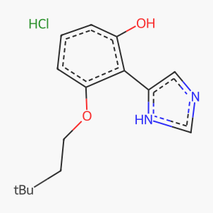 CC(C)(C)CCOc1cccc(O)c1-c1cnc[nH]1.Cl